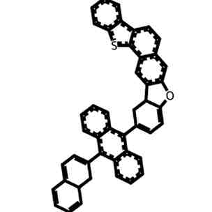 C1=CC2=CC=C(c3c4ccccc4c(C4=CC=C5Oc6cc7ccc8c9ccccc9sc8c7cc6C5C4)c4ccccc34)CC2C=C1